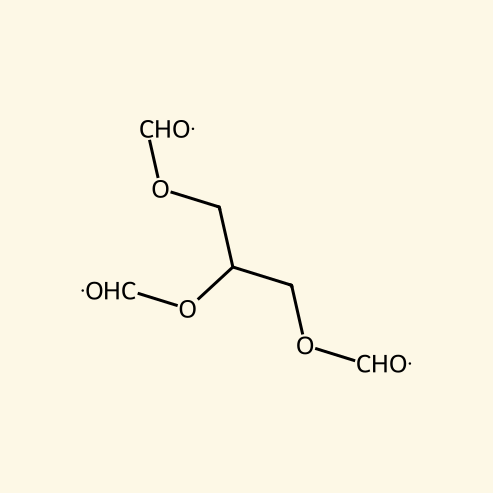 O=[C]OCC(CO[C]=O)O[C]=O